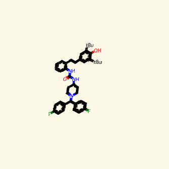 CC(C)(C)c1cc(CCc2ccccc2NC(=O)NC2CCN(C(c3ccc(F)cc3)c3ccc(F)cc3)CC2)cc(C(C)(C)C)c1O